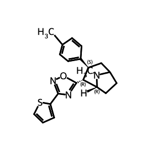 Cc1ccc([C@H]2CC3CC[C@H]([C@@H]2c2nc(-c4cccs4)no2)N3C)cc1